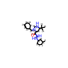 CC1CCCC(NNC(=O)C2CC(C(C)(C)C)NCN2CC2CC=CCCC2)C1